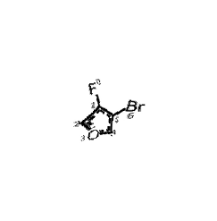 Fc1co[c]c1Br